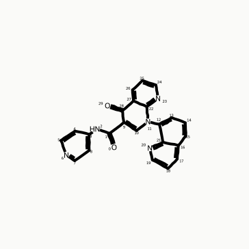 O=C(Nc1ccncc1)c1cn(-c2cccc3cccnc23)c2ncccc2c1=O